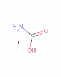 NC(=O)O.[Ti]